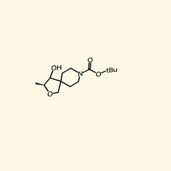 C[C@@H]1OCC2(CCN(C(=O)OC(C)(C)C)CC2)C1O